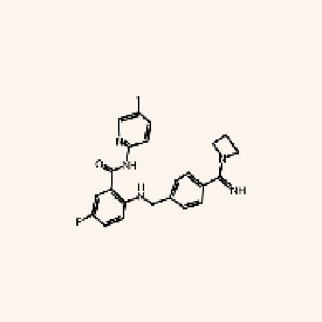 Cc1ccc(NC(=O)c2cc(F)ccc2NCc2ccc(C(=N)N3CCC3)cc2)nc1